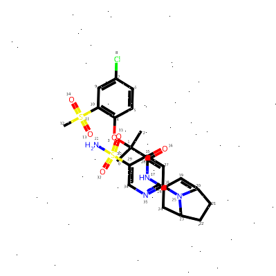 CC(C)(Oc1ccc(Cl)cc1S(C)(=O)=O)C(=O)NC1C=C2CCC(C1)N2c1ccc(S(N)(=O)=O)cn1